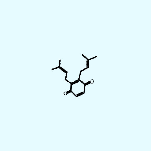 CC(C)=CCC1=C(CC=C(C)C)C(=O)C=CC1=O